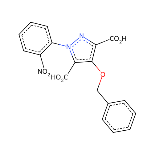 O=C(O)c1nn(-c2ccccc2[N+](=O)[O-])c(C(=O)O)c1OCc1ccccc1